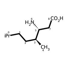 CC(C)CC[C@H](C)[C@H](N)CC(=O)O